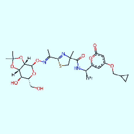 CCC[C@@H](NC(=O)C1(C)CSC(/C(C)=N/O[C@H]2O[C@H](CO)[C@@H](O)[C@@H]3OC(C)(C)O[C@H]23)=N1)c1cc(OCC2CC2)cc(=O)o1